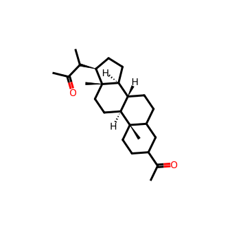 CC(=O)C1CC[C@@]2(C)C(CC[C@H]3[C@@H]4CC[C@H](C(C)C(C)=O)[C@@]4(C)CC[C@@H]32)C1